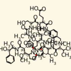 CC[C@H](C)[C@@H]([C@@H](CC(=O)N1CCC[C@H]1[C@H](OC)[C@@H](C)C(=O)N[C@H](C)[C@@H](O)c1ccccc1)OC)N(C)C(=O)[C@@H](NC(=O)[C@H](C(C)C)[N+](C)(C)Cc1ccc(NC(=O)[C@H](CCC(=O)O)NC(=O)[C@H](CO)NC(=O)[C@H](C)NC(=O)CCN2C(=O)C=CC2=O)cc1)C(C)C